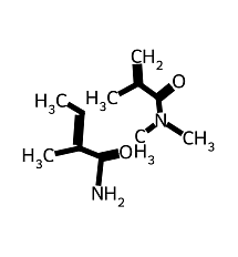 C/C=C(\C)C(N)=O.C=C(C)C(=O)N(C)C